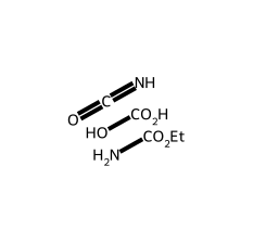 CCOC(N)=O.N=C=O.O=C(O)O